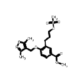 COC(=O)c1ccc(OCc2c(C)noc2C)c(CCCOS(C)(=O)=O)c1